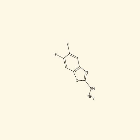 NNc1nc2cc(F)c(F)cc2o1